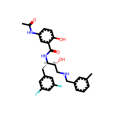 CC(=O)Nc1ccc(O)c(C(=O)N[C@@H](Cc2cc(F)cc(F)c2)[C@H](O)CNCc2cccc(C)c2)c1